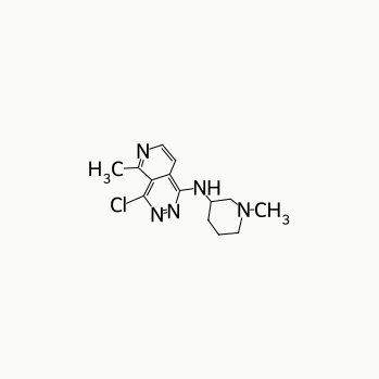 Cc1nccc2c(NC3CCCN(C)C3)nnc(Cl)c12